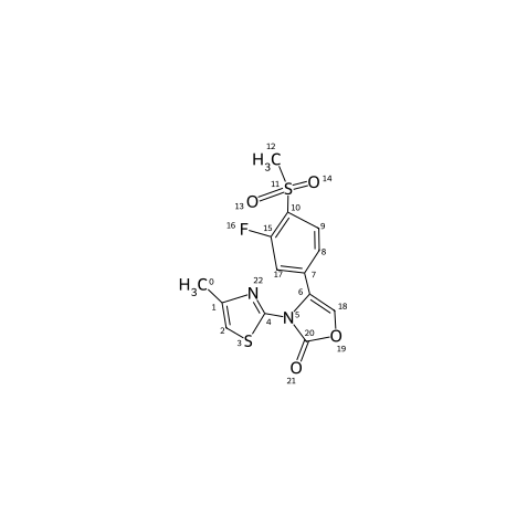 Cc1csc(-n2c(-c3ccc(S(C)(=O)=O)c(F)c3)coc2=O)n1